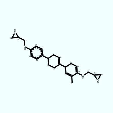 CC1=CC(C2=CCC(c3ccc(OCC4CO4)cc3)CC2)CC=C1OCC1CO1